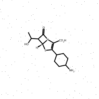 CC(O)C1C(=O)N2C(C(=O)O)=C(C3CCC(N)CC3)S[C@H]12